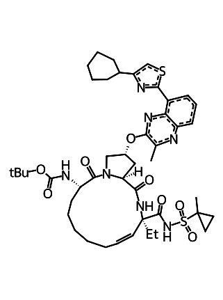 CC[C@]1(C(=O)NS(=O)(=O)C2(C)CC2)/C=C\CCCCC[C@H](NC(=O)OC(C)(C)C)C(=O)N2C[C@H](Oc3nc4c(-c5nc(C6CCCCC6)cs5)cccc4nc3C)C[C@H]2C(=O)N1